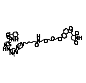 Cc1nc(Nc2ncc(C(=O)Nc3c(C)cccc3Cl)s2)cc(N2CCN(CCCCCC(=O)NCCOCCOCCOc3ccc4c(ccc5occ(C6CCC(=O)NC6=O)c54)c3)CC2)n1